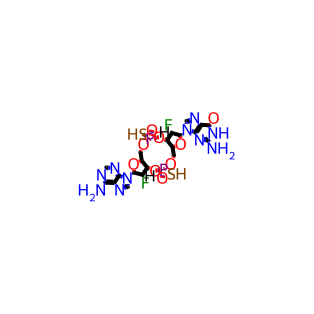 Nc1nc2c(ncn2[C@@H]2OC3CO[P@](=O)(S)O[C@@H]4C(COP(=O)(S)O[C@H]3[C@H]2F)O[C@@H](n2cnc3c(N)ncnc32)[C@@H]4F)c(=O)[nH]1